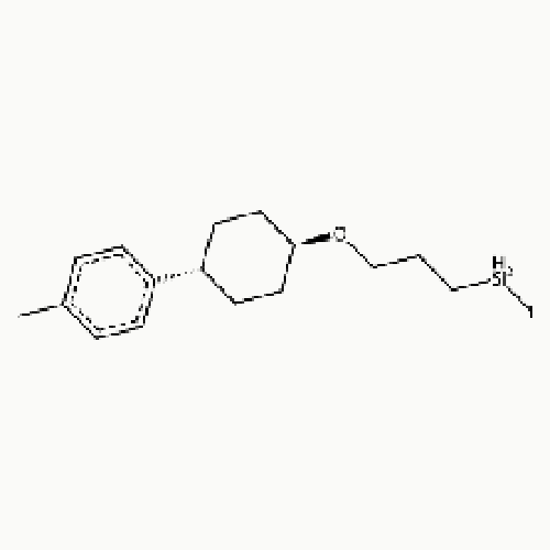 Cc1ccc([C@H]2CC[C@H](OCCC[SiH2]I)CC2)cc1